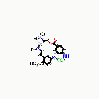 CCN(CC)CCOC(=O)c1ccc(NCl)cc1.CCN(CC)CCc1cc(NCl)ccc1C(=O)O